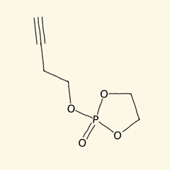 C#CCCOP1(=O)OCCO1